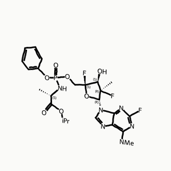 CNc1nc(F)nc2c1ncn2[C@@H]1O[C@](F)(COP(=O)(N[C@@H](C)C(=O)OC(C)C)Oc2ccccc2)[C@@H](O)[C@@]1(C)F